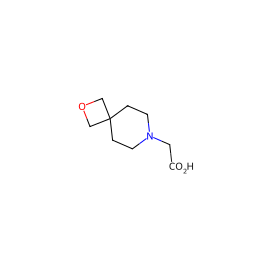 O=C(O)CN1CCC2(CC1)COC2